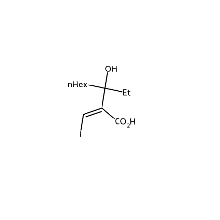 CCCCCCC(O)(CC)C(=CI)C(=O)O